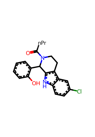 CCCC(=O)N1CCc2c([nH]c3ccc(Cl)cc23)C1c1ccccc1O